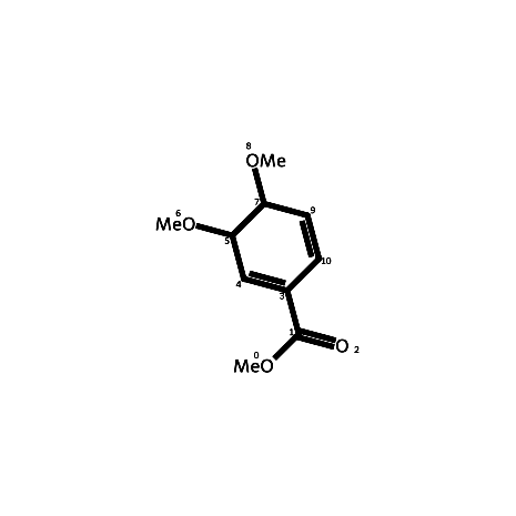 COC(=O)C1=CC(OC)C(OC)C=C1